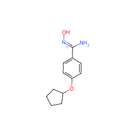 N/C(=N\O)c1ccc(OC2CCCC2)cc1